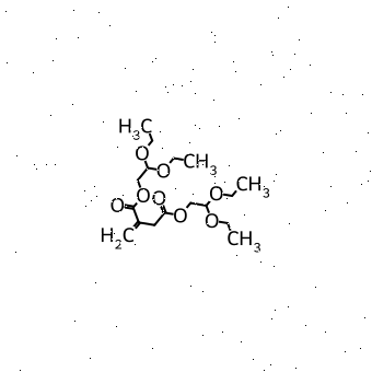 C=C(CC(=O)OCC(OCC)OCC)C(=O)OCC(OCC)OCC